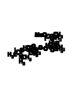 COc1cc(CC(C)N)c(OCCCC(=O)N(C)C(C)(C)C(=O)NCCOCCOCCNC(=O)C(C)(C)N(C)C(=O)CCCOc2cc(I)c(C)cc2CC(C)N)cc1I